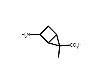 CC1(C(=O)O)C2CC(N)C21